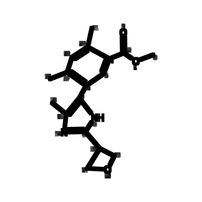 COC(=O)c1cc(-c2[nH]c(C3COC3)nc2C)c(C)cc1C